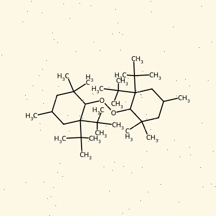 CC1CC(C)(C)C(OOC2C(C)(C)CC(C)CC2(C(C)(C)C)C(C)(C)C)C(C(C)(C)C)(C(C)(C)C)C1